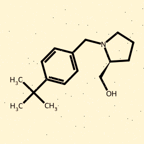 CC(C)(C)c1ccc(CN2CCC[C@H]2CO)cc1